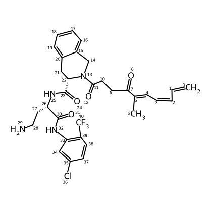 C=C/C=C\C=C(/C)C(=O)CCC(=O)N1Cc2ccccc2C[C@H]1C(=O)N[C@@H](CCN)C(=O)Nc1cc(Cl)ccc1C(F)(F)F